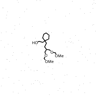 COCOCC(CCC1(CCO)CCCCC1)COCOC